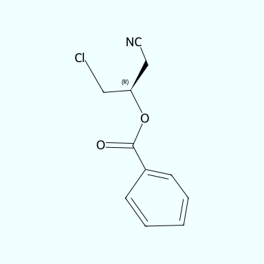 N#CC[C@H](CCl)OC(=O)c1ccccc1